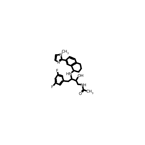 CC(=O)NCC(O)C(Cc1cc(F)cc(F)c1)NC1CCCc2ccc(-c3nccn3C)cc21